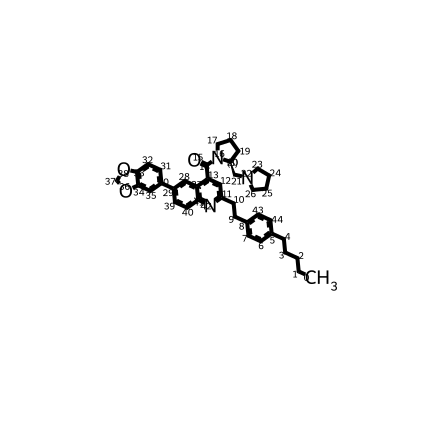 CCCCCc1ccc(CCc2cc(C(=O)N3CCC[C@H]3CN3CCCC3)c3cc(-c4ccc5c(c4)OCO5)ccc3n2)cc1